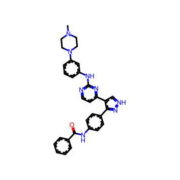 CN1CCN(c2cccc(Nc3nccc(-c4c[nH]nc4-c4ccc(NC(=O)c5ccccc5)cc4)n3)c2)CC1